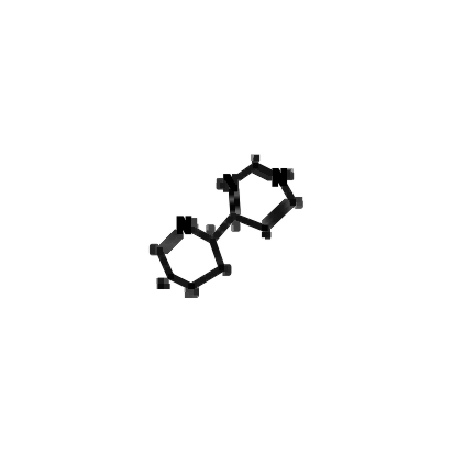 C1=NC(c2ccncn2)CCC1